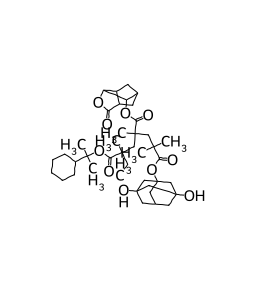 CCC(C)(CC(C)(CC(C)(C)C(=O)OC12CC3CC(O)(CC(O)(C3)C1)C2)C(=O)OC1C2CC3C(=O)OC1C3C2)C(=O)OC(C)(C)C1CCCCC1